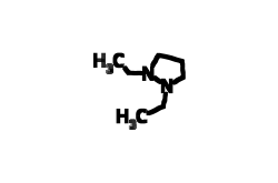 CCN1CCCN1CC